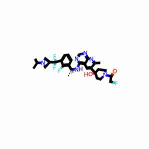 Cc1nc2ncnc(N[C@H](C)c3cccc(C(F)(F)C4CN(C(C)C)C4)c3F)c2cc1C1(O)CCN(C(=O)CF)CC1